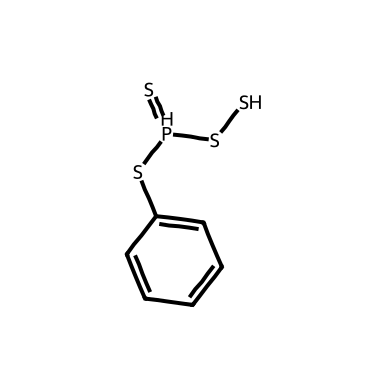 S=[PH](SS)Sc1ccccc1